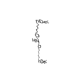 CCCCCCCCCCCCCCCCCOCCNCCOCCCCCCCCCCCCCCCCC